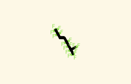 FC(F)(F)C(F)(F)C=CC(F)(F)C(F)(F)C(F)(C(F)(F)F)C(F)(F)F